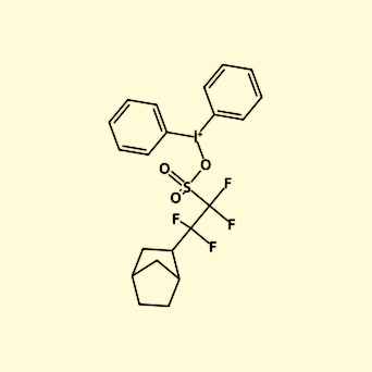 O=S(=O)(O[I+](c1ccccc1)c1ccccc1)C(F)(F)C(F)(F)C1CC2CCC1C2